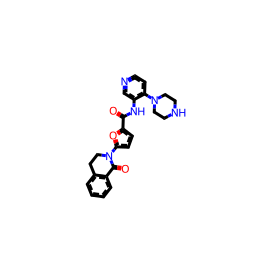 O=C(Nc1cnccc1N1CCNCC1)c1ccc(N2CCc3ccccc3C2=O)o1